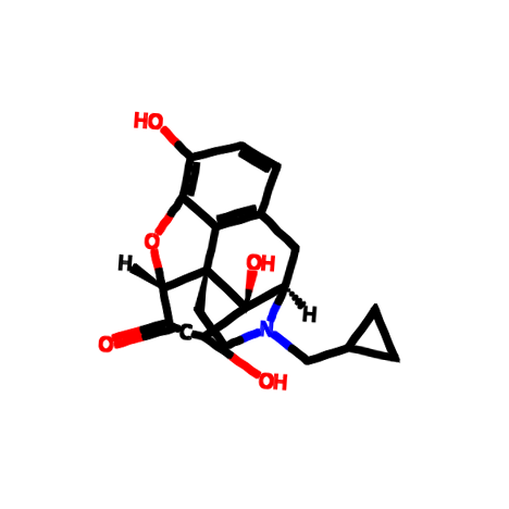 O=C1CC(O)[C@@]2(O)[C@H]3Cc4ccc(O)c5c4[C@@]2(CCN3CC2CC2)[C@H]1O5